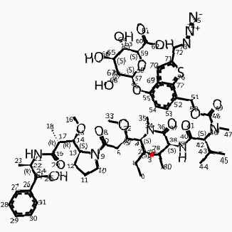 CC[C@H](C)[C@@H]([C@@H](CC(=O)N1CCC[C@H]1[C@H](OC)[C@@H](C)C(=O)N[C@H](C)[C@@H](O)c1ccccc1)OC)N(C)C(=O)[C@@H](NC(=O)[C@H](C(C)C)N(C)C(=O)OCc1ccc(O[C@@H]2O[C@H](C(=O)O)[C@@H](O)[C@H](O)[C@H]2O)c2cc(CN=[N+]=[N-])sc12)C(C)C